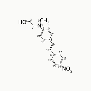 CN(CCO)c1ccc(/C=C/c2ccc([N+](=O)[O-])cc2)cc1